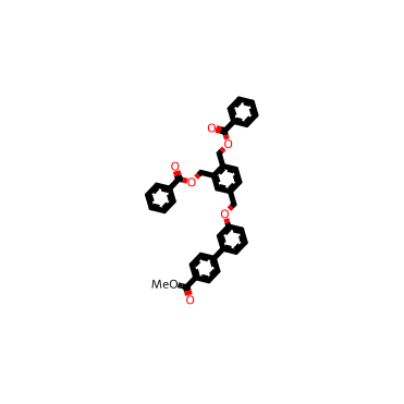 COC(=O)c1ccc(-c2cccc(OCc3ccc(COC(=O)c4ccccc4)c(COC(=O)c4ccccc4)c3)c2)cc1